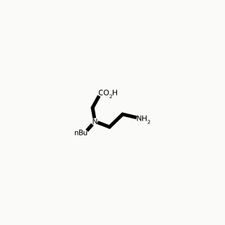 CCCCN(CCN)CC(=O)O